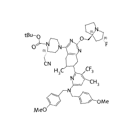 COc1ccc(CN(Cc2ccc(OC)cc2)c2cc(C)c(C(F)(F)F)c(C3Cc4nc(OC[C@@]56CCCN5C[C@H](F)C6)nc(N5CCN(C(=O)OC(C)(C)C)[C@@H](CC#N)C5)c4CC3C)n2)cc1